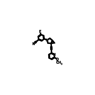 COc1cccc(C#CC23CC2CN(c2cc(F)cc(C#N)c2)C3)n1